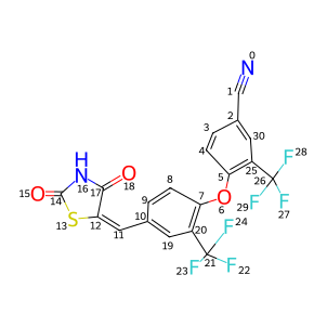 N#Cc1ccc(Oc2ccc(C=C3SC(=O)NC3=O)cc2C(F)(F)F)c(C(F)(F)F)c1